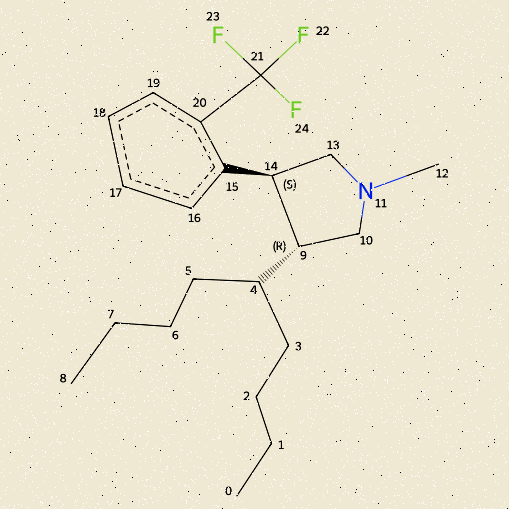 CCCCC(CCCC)[C@H]1CN(C)C[C@@H]1c1ccccc1C(F)(F)F